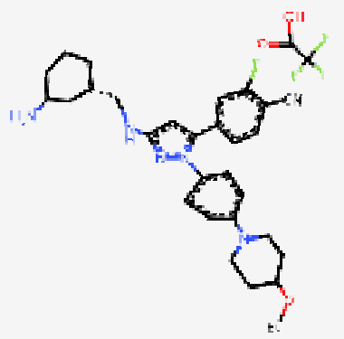 CCOC1CCN(c2ccc(-n3nc(NC[C@H]4CCC[C@H](N)C4)cc3-c3ccc(C#N)c(F)c3)cc2)CC1.O=C(O)C(F)(F)F